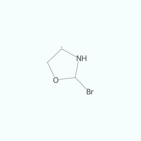 BrC1N[CH]CO1